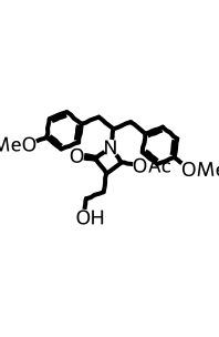 COc1ccc(CC(Cc2ccc(OC)cc2)N2C(=O)C(CCO)C2OC(C)=O)cc1